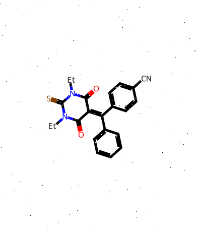 CCN1C(=O)C(=C(c2ccccc2)c2ccc(C#N)cc2)C(=O)N(CC)C1=S